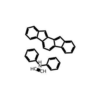 C#C.C1=c2c(ccc3c2=Cc2ccccc2-3)-c2ccccc21.c1ccc(Nc2ccccc2)cc1